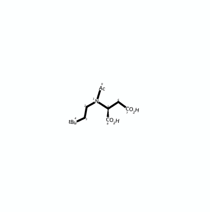 CC(=O)N(CCC(C)(C)C)[C@@H](CC(=O)O)C(=O)O